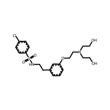 O=S(=O)(NCCc1cccc(OCCN(CCO)CCO)c1)c1ccc(Cl)cc1